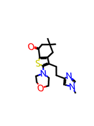 Cn1cnc(CCc2c(N3CCOCC3)sc3c2CC(C)(C)CC3=O)c1